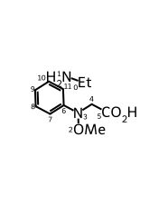 CCN.CON(CC(=O)O)c1ccccc1